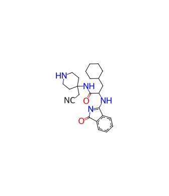 N#CCC1(NC(=O)C(CC2CCCCC2)NC2=NC(=O)c3ccccc32)CCNCC1